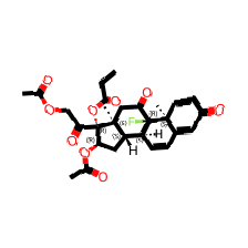 CCC(=O)O[C@@]1(C(=O)COC(C)=O)[C@H](OC(C)=O)C[C@H]2[C@@H]3C=CC4=CC(=O)C=C[C@]4(C)[C@@]3(F)C(=O)C[C@@]21C